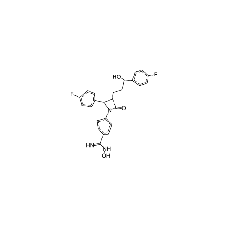 N=C(NO)c1ccc(N2C(=O)C(CCC(O)c3ccc(F)cc3)C2c2ccc(F)cc2)cc1